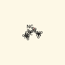 N#Cc1cccc(-c2cc(-n3c4ccccc4c4cc(-c5nc(-c6ccccc6)nc(-c6ccccc6)n5)ccc43)c(C(F)(F)F)cc2-n2c3ccccc3c3cc(-c4nc(-c5ccccc5)nc(-c5ccccc5)n4)ccc32)c1